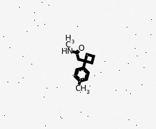 CNC(=O)CC1(c2ccc(C)cc2)CCC1